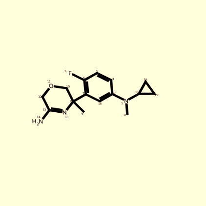 CN(c1ccc(F)c(C2(C)COCC(N)=N2)c1)C1CC1